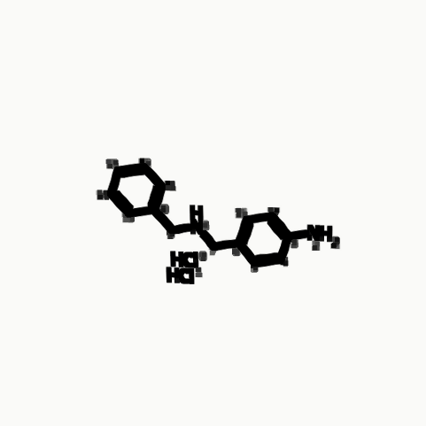 Cl.Cl.Nc1ccc(CNCc2ccccc2)cc1